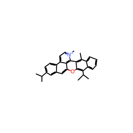 Cc1c2c(c(C(C)C)c3ccccc13)Oc1cc3cc(C(C)C)ccc3c3cc[n+](C)c-2c13